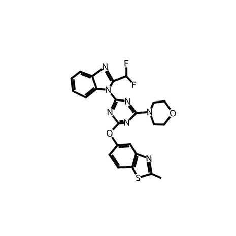 Cc1nc2cc(Oc3nc(N4CCOCC4)nc(-n4c(C(F)F)nc5ccccc54)n3)ccc2s1